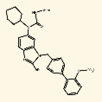 CCCCCCNC(=O)N(c1ccc2nc(CCCC)n(Cc3ccc(-c4ccccc4OC(=O)O)cc3)c2c1)C1CCCCC1